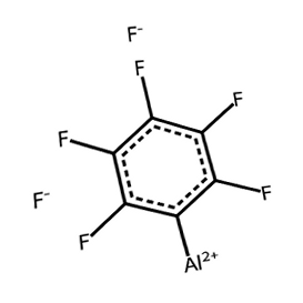 Fc1c(F)c(F)[c]([Al+2])c(F)c1F.[F-].[F-]